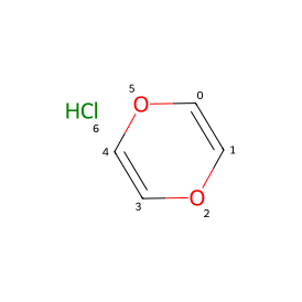 C1=COC=CO1.Cl